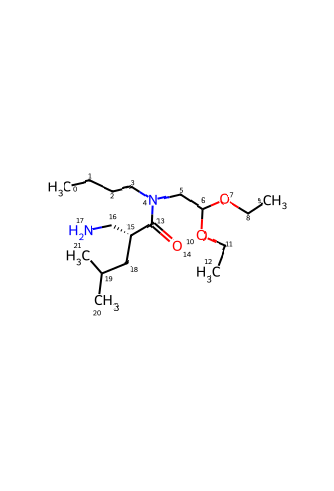 CCCCN(CC(OCC)OCC)C(=O)[C@@H](CN)CC(C)C